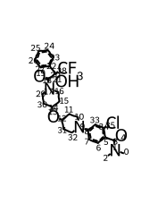 CN(C)C(=O)c1ccc(N2CCC(OC3CCN(C(=O)C(O)(c4ccccc4)C(F)(F)F)CC3)CC2)cc1Cl